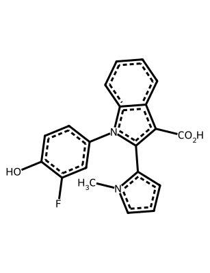 Cn1cccc1-c1c(C(=O)O)c2ccccc2n1-c1ccc(O)c(F)c1